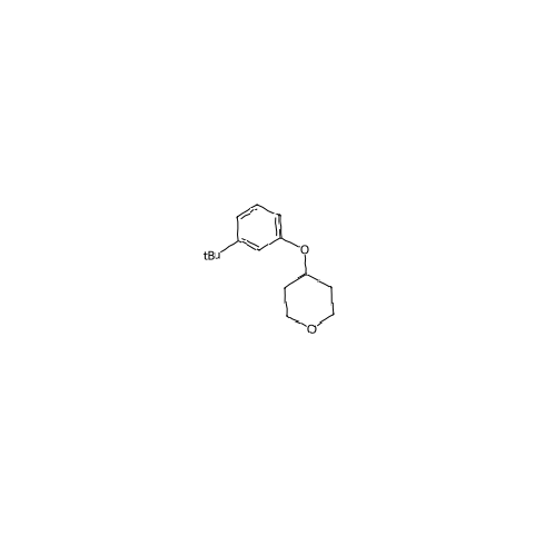 CC(C)(C)c1cccc(OC2CCOCC2)c1